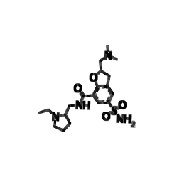 CCN1CCCC1CNC(=O)c1cc(S(N)(=O)=O)cc2c1OC(CN(C)C)C2